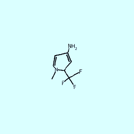 CN1C=CC(N)=CC1C(F)(F)F